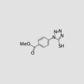 COC(=O)c1ccc(-n2nnnc2S)cc1